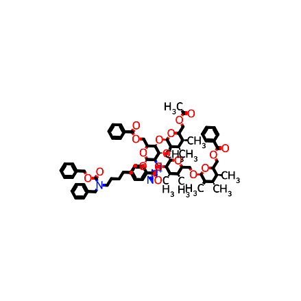 CC(=O)OCC1O[C@H](O[C@H]2C(COC(=O)c3ccccc3)O[C@H](OCCCCCCN(Cc3ccccc3)C(=O)OCc3ccccc3)C(N=[N+]=[N-])[C@H]2O[C@@H]2OC(CO[C@H]3OC(COC(=O)c4ccccc4)[C@@H](C)[C@H](C)C3C)[C@@H](C)[C@H](C)C2OC(=O)c2ccccc2)C(C)[C@@H](C)[C@@H]1C